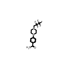 NC(=O)c1ccc(N2CCN(CC(F)(F)C(F)(F)F)CC2)cc1